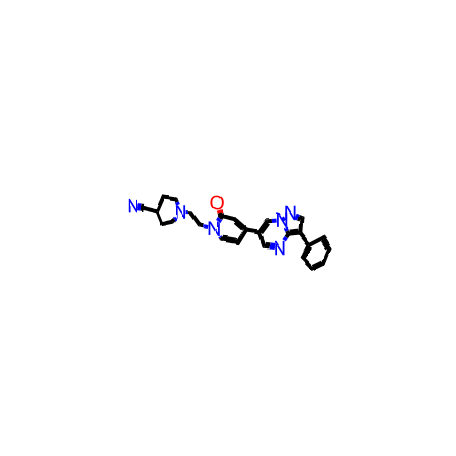 N#CC1CCN(CCn2ccc(-c3cnc4c(-c5ccccc5)cnn4c3)cc2=O)CC1